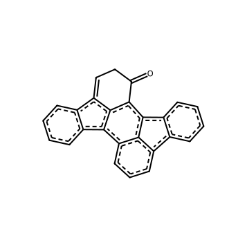 O=C1CC=c2c3ccccc3c3c2c1c1c2ccccc2c2cccc3c21